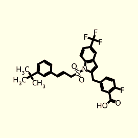 CC(C)(C)c1cccc(C=CCS(=O)(=O)n2c(Cc3ccc(F)c(C(=O)O)c3)cc3cc(C(F)(F)F)ccc32)c1